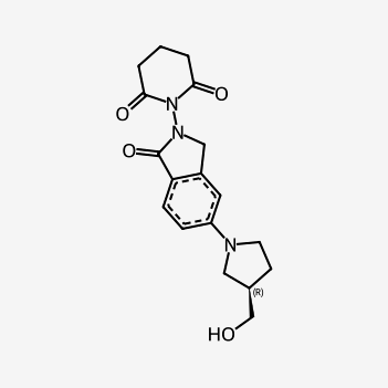 O=C1c2ccc(N3CC[C@@H](CO)C3)cc2CN1N1C(=O)CCCC1=O